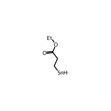 CCOC(=O)C[CH2][SnH]